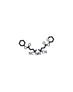 CC(C#N)(CCC(=O)OC1CCCCC1)/N=N\C(C)(C#N)CCC(=O)OC1CCCCO1